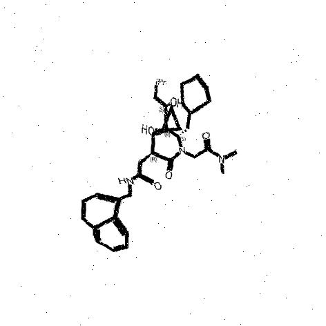 CC(C)C[C@H](O)[C@H](O)[C@H](CC1CCCCC1)N(CC(=O)N(C)C)C(=O)[C@@H](CC(=O)NCc1cccc2ccccc12)CC1CC1